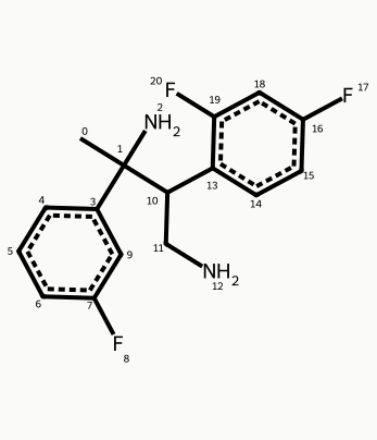 CC(N)(c1cccc(F)c1)C(CN)c1ccc(F)cc1F